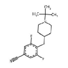 CC(C)(C)N1CCC(Cc2c(F)cc(C#N)cc2F)CC1